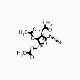 CC(=O)OC[C@H]1O[C@@H](N=[N+]=[N-])[C@@H](OC(C)=O)C1OC(C)=O